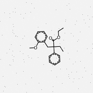 CCOC(=O)C(CC)(Cc1ccccc1OC)c1ccccc1